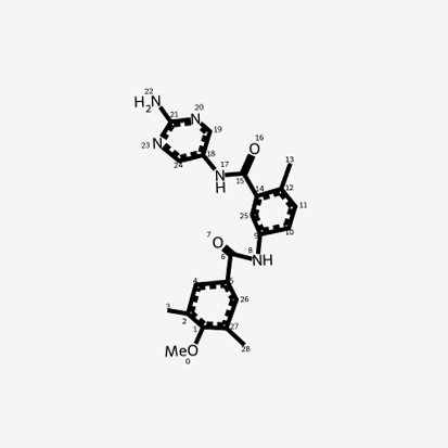 COc1c(C)cc(C(=O)Nc2ccc(C)c(C(=O)Nc3cnc(N)nc3)c2)cc1C